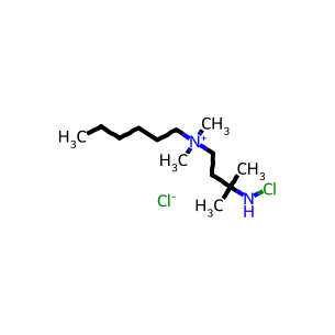 CCCCCC[N+](C)(C)CCC(C)(C)NCl.[Cl-]